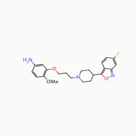 COc1ccc(N)cc1OCCCN1CCC(c2onc3cc(F)ccc23)CC1